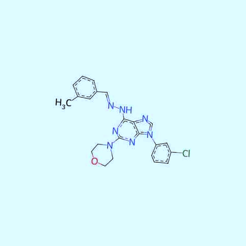 Cc1cccc(/C=N/Nc2nc(N3CCOCC3)nc3c2ncn3-c2cccc(Cl)c2)c1